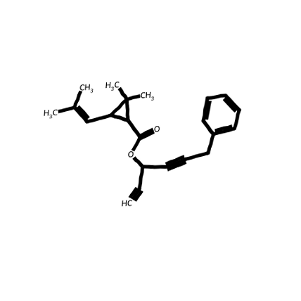 C#CC(C#CCc1ccccc1)OC(=O)C1C(C=C(C)C)C1(C)C